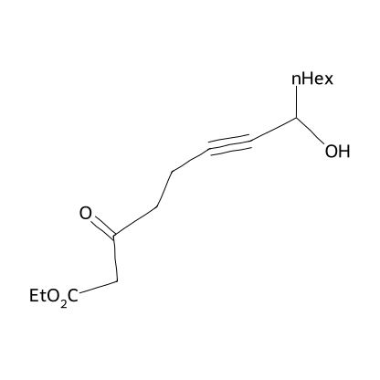 CCCCCCC(O)C#CCCC(=O)CC(=O)OCC